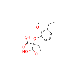 CCc1cccc(OC(CC)(C(=O)O)C(=O)O)c1OC